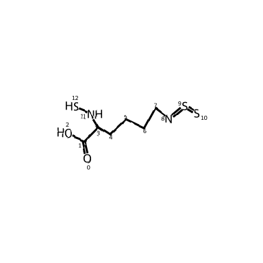 O=C(O)C(CCCCN=S=S)NS